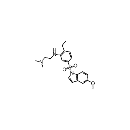 CCc1ccc(S(=O)(=O)n2ccc3cc(OC)ccc32)cc1NCCN(C)C